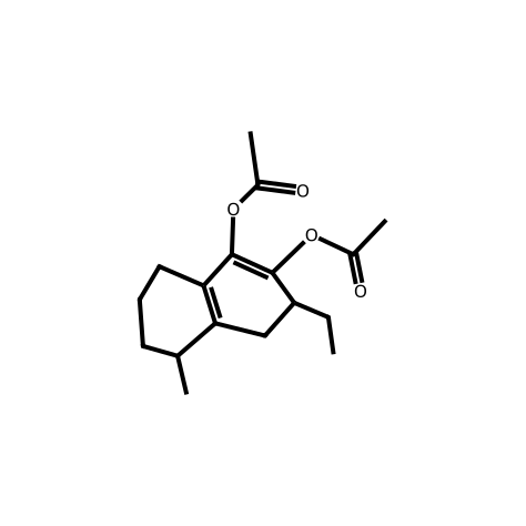 CCC1CC2=C(CCCC2C)C(OC(C)=O)=C1OC(C)=O